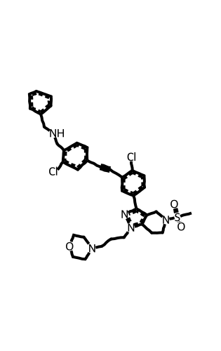 CS(=O)(=O)N1CCc2c(c(-c3ccc(Cl)c(C#Cc4ccc(CNCc5ccccc5)c(Cl)c4)c3)nn2CCCN2CCOCC2)C1